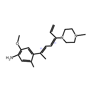 C=C/C(=C\C=C(/C)c1cc(OC)c(N)cc1C)N1CCN(C)CC1